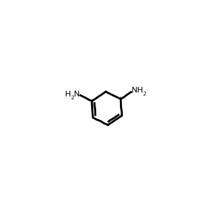 N[C]1C=CC=C(N)C1